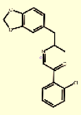 CC(Cc1ccc2c(c1)OCO2)/N=C\C(=O)c1ccccc1Cl